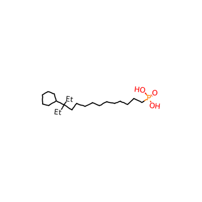 CCC(CC)(CCCCCCCCCCCP(=O)(O)O)C1CCCCC1